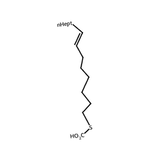 CCCCCCCC=CCCCCCCSC(=O)O